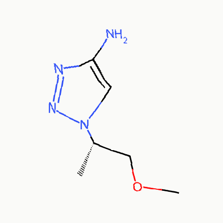 COC[C@H](C)n1cc(N)nn1